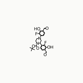 CC(C)(C)OC(=O)N1CCN(c2ccc(C=O)c(O)c2F)CC1c1ccc(C=O)c(O)c1F